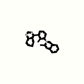 Cc1c(-c2ncnc3ccccc23)cccc1-[n+]1cc2ccccc2cc1C